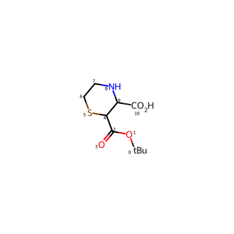 CC(C)(C)OC(=O)C1SCCNC1C(=O)O